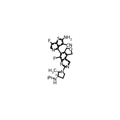 CC(C)N[C@H]1CCN(c2ncc3c4c(c(-c5ncc(F)c6sc(N)c(C#N)c56)c(F)c3n2)COC4)[C@H]1C